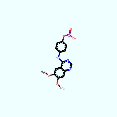 COc1cc2ncnc(Nc3ccc(O[PH](=O)O)cc3)c2cc1OC